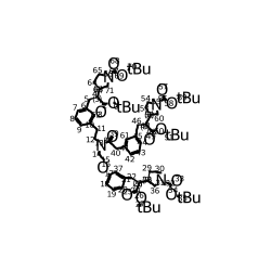 CC(C)(C)OC(=O)[C@@H](Cc1cccc(CCN(CCOc2cccc(C[C@H](C(=O)OC(C)(C)C)[C@H]3CCN(C(=O)OC(C)(C)C)C3)c2)C(=O)Cc2cccc(C[C@H](C(=O)OC(C)(C)C)[C@H]3CCN(C(=O)OC(C)(C)C)C3)c2)c1)[C@H]1CCN(C(=O)OC(C)(C)C)C1